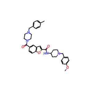 COc1ccc(CN2CCC(NC(=O)c3cc4cc(C(=O)N5CCN(Cc6ccc(C)cc6)CC5)ccc4o3)CC2)cc1